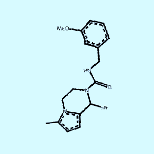 CCCC1c2ccc(C)n2CCN1C(=O)NCc1cccc(OC)c1